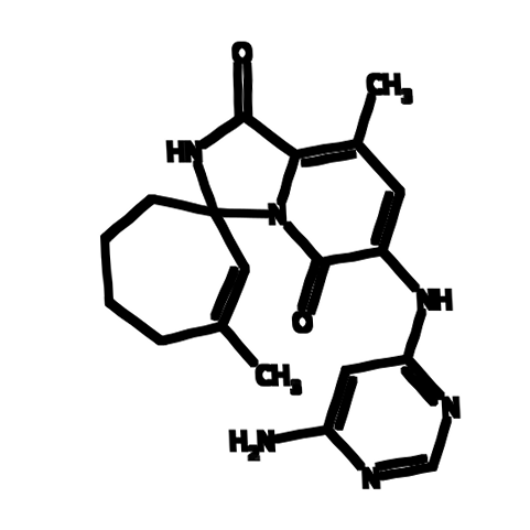 CC1=CC2(CCCC1)NC(=O)c1c(C)cc(Nc3cc(N)ncn3)c(=O)n12